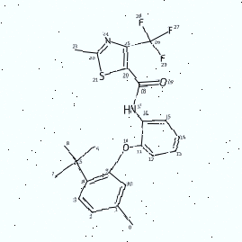 Cc1ccc(C(C)(C)C)c(Oc2ccccc2NC(=O)c2sc(C)nc2C(F)(F)F)c1